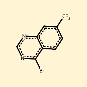 FC(F)(F)c1ccc2c(Br)ncnc2c1